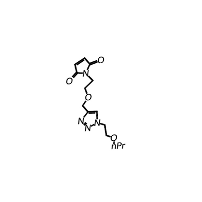 CCCOCCn1cc(COCCN2C(=O)C=CC2=O)nn1